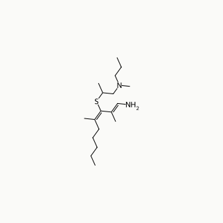 CCCCC/C(C)=C(SC(C)CN(C)CCC)\C(C)=C\N